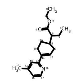 CCOC(=O)C(CC)C1CC=C(c2cc(C)ccn2)CC1